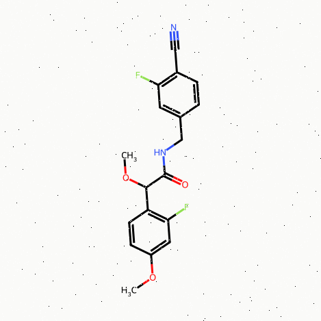 COc1ccc(C(OC)C(=O)NCc2ccc(C#N)c(F)c2)c(F)c1